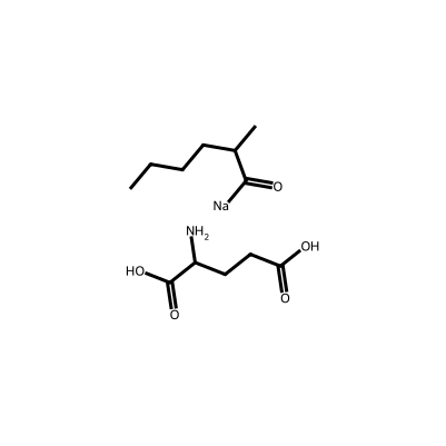 CCCCC(C)[C](=O)[Na].NC(CCC(=O)O)C(=O)O